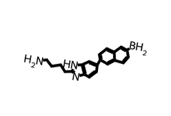 Bc1ccc2cc(-c3ccc4nc(CCCCN)[nH]c4c3)ccc2c1